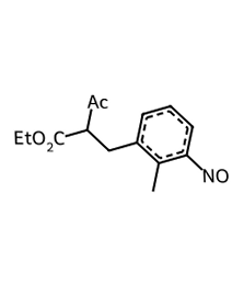 CCOC(=O)C(Cc1cccc(N=O)c1C)C(C)=O